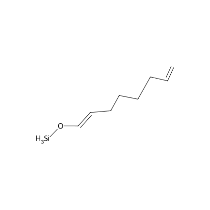 C=CCCCCC=CO[SiH3]